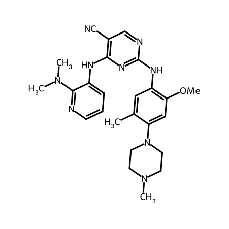 COc1cc(N2CCN(C)CC2)c(C)cc1Nc1ncc(C#N)c(Nc2cccnc2N(C)C)n1